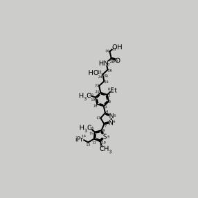 CCc1cc(C2=NN=C(c3sc(C)c(CC(C)C)c3C)C2)cc(C)c1CC[C@H](O)CNC(=O)CO